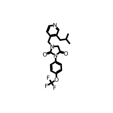 CC(C)Cc1cnccc1CN1CC(=O)N(c2ccc(OC(F)(F)F)cc2)C1=O